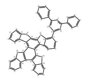 c1ccc(-c2nc(-c3ccccc3)nc(-c3cccc4c3sc3c5sc6ccccc6c5c5c6sc7ccccc7c6c6c7ccccc7sc6c5c43)n2)cc1